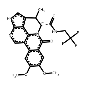 COc1cc2c(=O)n3c4c(cnc5[nH]cc(c54)C(C)[C@@H]3C(=O)NCC(F)(F)F)c2cc1OC